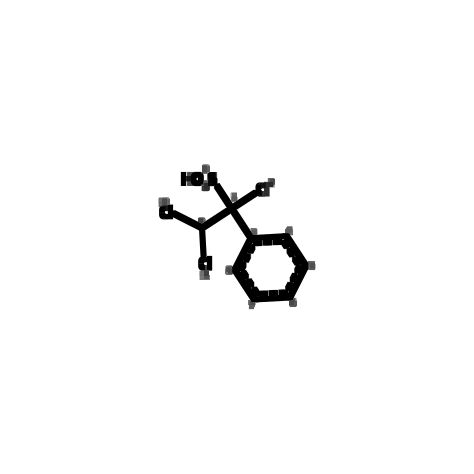 O=S(=O)(O)C(Cl)(c1ccccc1)C(Cl)Cl